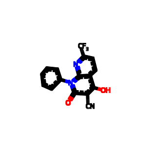 N#Cc1c(O)c2ccc(C(F)(F)F)nc2n(-c2ccccc2)c1=O